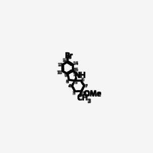 CO[C@]1(C)CC[C@@]2(CC1)Cc1ccc(Br)cc1N2